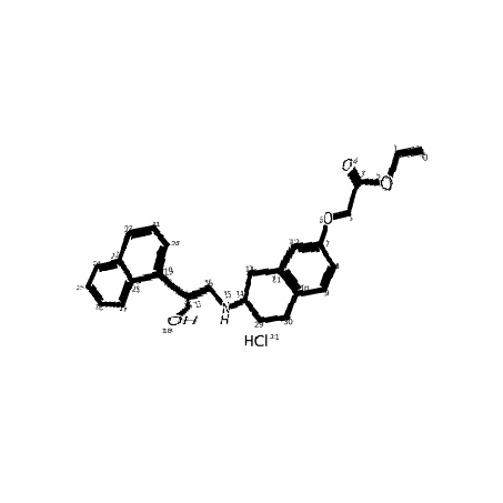 CCOC(=O)COc1ccc2c(c1)CC(NC[C@@H](O)c1cccc3ccccc13)CC2.Cl